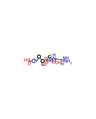 N=C(N)NCCC[C@H](NC(=O)c1sccc1NS(=O)(=O)c1cc(-c2ccccc2CN2CCC(C(=O)O)CC2)cc2c1OCC2)C(=O)O